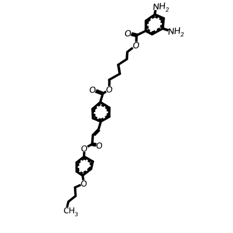 CCCCOc1ccc(OC(=O)C=Cc2ccc(C(=O)OCCCCCOC(=O)c3cc(N)cc(N)c3)cc2)cc1